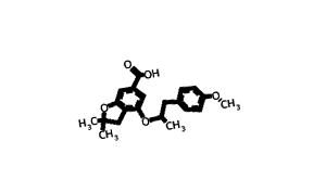 COc1ccc(CC(C)Oc2cc(C(=O)O)cc3c2CC(C)(C)O3)cc1